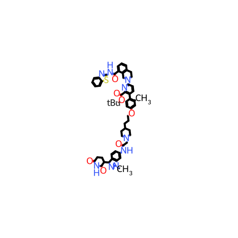 Cc1cc(OCCCC2CCN(CC(=O)Nc3ccc4c(C5CCC(=O)NC5=O)nn(C)c4c3)CC2)ccc1-c1ccc(N2CCc3cccc(C(=O)Nc4nc5ccccc5s4)c3C2)nc1C(=O)OC(C)(C)C